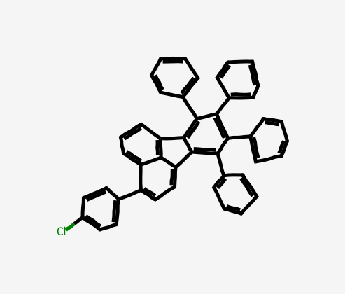 Clc1ccc(-c2ccc3c4c(cccc24)-c2c(-c4ccccc4)c(-c4ccccc4)c(-c4ccccc4)c(-c4ccccc4)c2-3)cc1